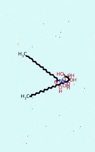 CCCCCCCCCCCCCCCCCCCC(=O)N[C@@H](C(O)[C@@H]1O[C@H](CO)[C@@H](O)[C@H](O)[C@H]1O)[C@H](O)CCCCCCCCCCCCCCC